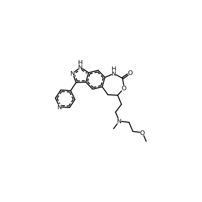 COCCN(C)CCC1Cc2cc3c(-c4ccncc4)n[nH]c3cc2NC(=O)O1